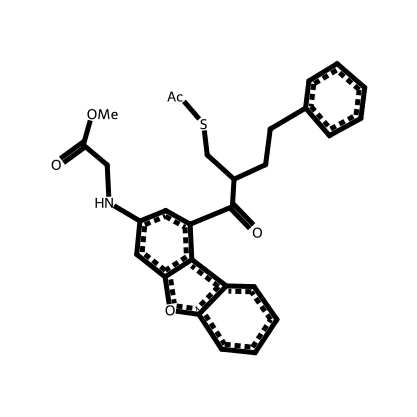 COC(=O)CNc1cc(C(=O)C(CCc2ccccc2)CSC(C)=O)c2c(c1)oc1ccccc12